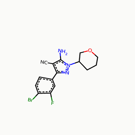 N#Cc1c(-c2ccc(Br)c(F)c2)nn(C2CCCOC2)c1N